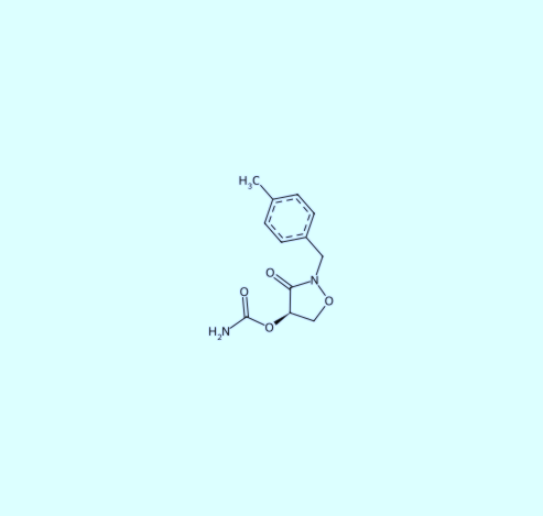 Cc1ccc(CN2OC[C@@H](OC(N)=O)C2=O)cc1